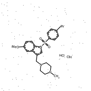 COc1ccc2c(c1)c(CN1CCN(C)CC1)cn2S(=O)(=O)c1ccc(C(C)C)cc1.Cl.Cl